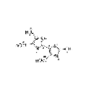 CCCCCCCCc1nc(-c2sc(C)nc2CCCCCCCC)sc1C